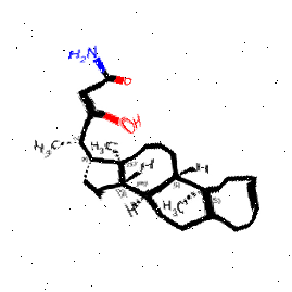 C[C@H](C(O)CC(N)=O)[C@H]1CC[C@H]2[C@@H]3CCC4CC=CC[C@]4(C)[C@H]3CC[C@]12C